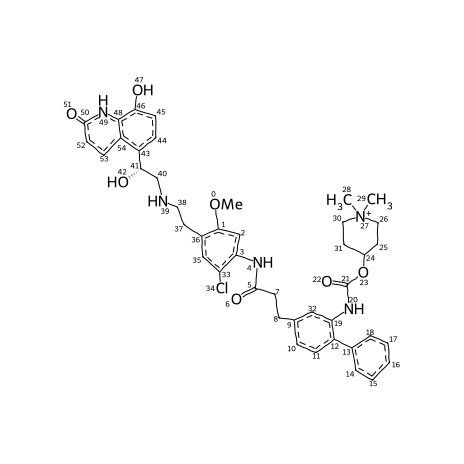 COc1cc(NC(=O)CCc2ccc(-c3ccccc3)c(NC(=O)OC3CC[N+](C)(C)CC3)c2)c(Cl)cc1CCNC[C@H](O)c1ccc(O)c2[nH]c(=O)ccc12